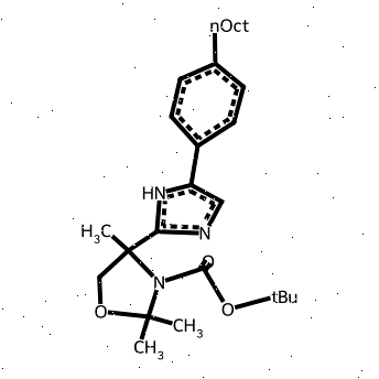 CCCCCCCCc1ccc(-c2cnc(C3(C)COC(C)(C)N3C(=O)OC(C)(C)C)[nH]2)cc1